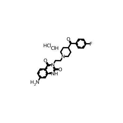 Cl.Cl.Nc1ccc2c(=O)n(CCN3CCC(C(=O)c4ccc(F)cc4)CC3)c(=O)[nH]c2c1